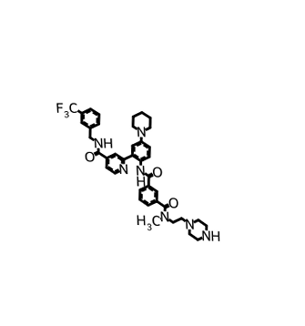 CN(CCN1CCNCC1)C(=O)c1cccc(C(=O)Nc2ccc(N3CCCCC3)cc2-c2cc(C(=O)NCc3cccc(C(F)(F)F)c3)ccn2)c1